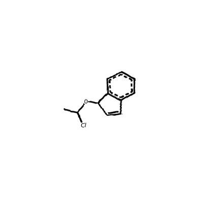 CC(Cl)OC1C=[C]c2ccccc21